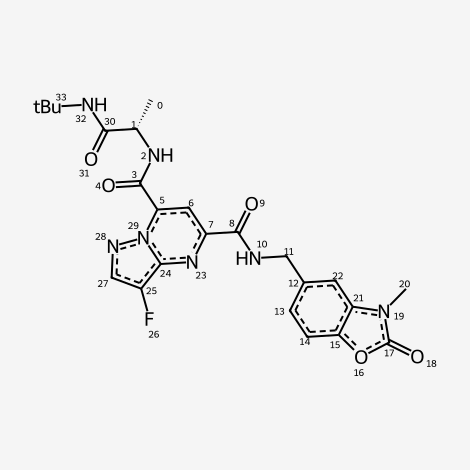 C[C@H](NC(=O)c1cc(C(=O)NCc2ccc3oc(=O)n(C)c3c2)nc2c(F)cnn12)C(=O)NC(C)(C)C